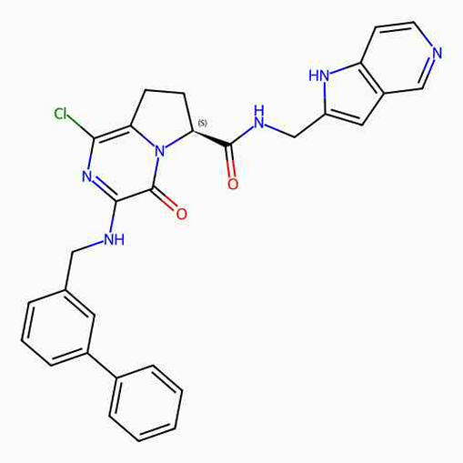 O=C(NCc1cc2cnccc2[nH]1)[C@@H]1CCc2c(Cl)nc(NCc3cccc(-c4ccccc4)c3)c(=O)n21